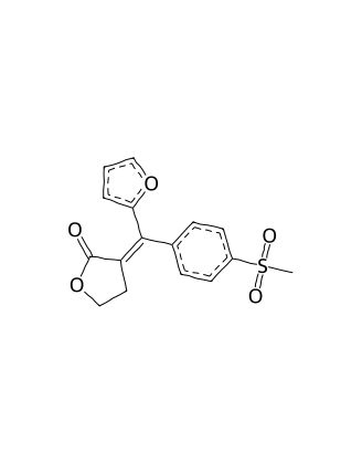 CS(=O)(=O)c1ccc(/C(=C2\CCOC2=O)c2ccco2)cc1